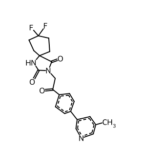 Cc1cncc(-c2ccc(C(=O)CN3C(=O)NC4(CCC(F)(F)CC4)C3=O)cc2)c1